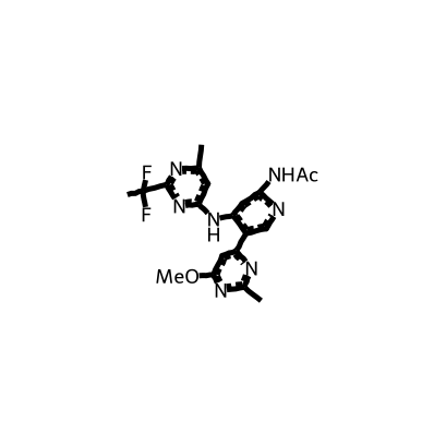 COc1cc(-c2cnc(NC(C)=O)cc2Nc2cc(C)nc(C(C)(F)F)n2)nc(C)n1